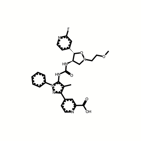 COCCN1C[C@@H](NC(=O)Nc2c(C)c(-c3ccnc(C(=O)O)c3)nn2-c2ccccc2)[C@H](c2ccnc(F)c2)O1